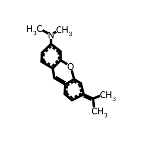 CC(C)=c1ccc2c(c1)Oc1cc(N(C)C)ccc1C=2